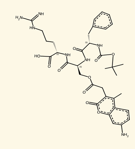 Cc1c(CC(=O)OC[C@H](NC(=O)[C@H](Cc2ccccc2)NC(=O)OC(C)(C)C)C(=O)N[C@@H](CCCNC(=N)N)C(=O)O)c(=O)oc2cc(N)ccc12